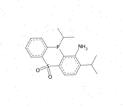 CC(C)c1ccc2c(c1N)P(C(C)C)c1ccccc1S2(=O)=O